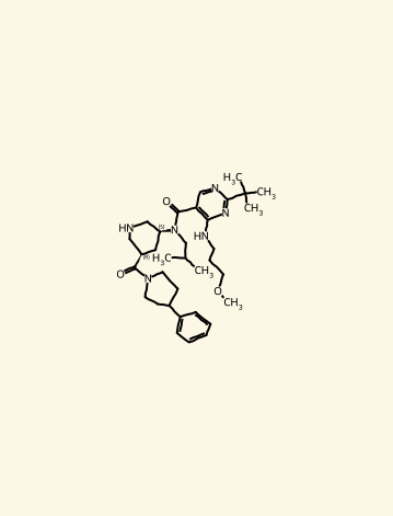 COCCCNc1nc(C(C)(C)C)ncc1C(=O)N(CC(C)C)[C@@H]1CNC[C@H](C(=O)N2CCC(c3ccccc3)CC2)C1